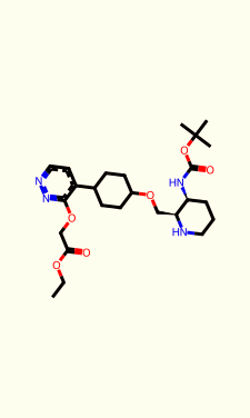 CCOC(=O)COc1nnccc1C1CCC(OC[C@@H]2NCCC[C@@H]2NC(=O)OC(C)(C)C)CC1